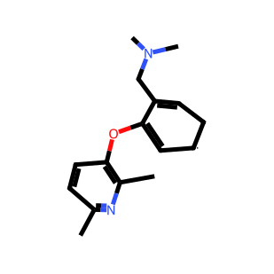 Cc1ccc(OC2=C[CH]CC=C2CN(C)C)c(C)n1